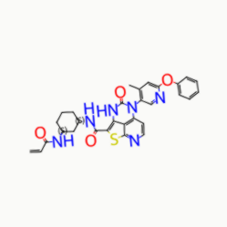 C=CC(=O)N[C@H]1CCC[C@H](NC(=O)c2sc3nccc4c3c2NC(=O)N4c2cnc(Oc3ccccc3)cc2C)C1